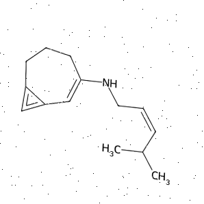 CC(C)/C=C\CNC1=CC2=C=C2CCC1